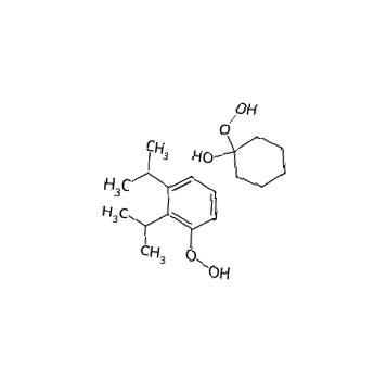 CC(C)c1cccc(OO)c1C(C)C.OOC1(O)CCCCC1